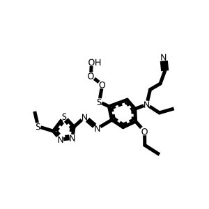 CCOc1cc(N=Nc2nnc(SC)s2)c(SOOO)cc1N(CC)CCC#N